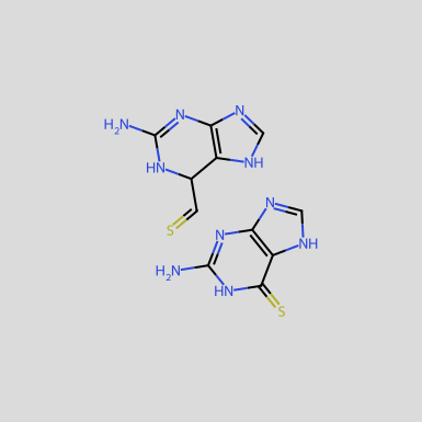 NC1=Nc2nc[nH]c2C(C=S)N1.Nc1nc2nc[nH]c2c(=S)[nH]1